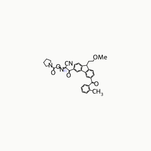 COCCC1c2ccc(C(=O)/C(C#N)=N/OC(=O)N3CCCC3)cc2-c2cc(C(=O)c3ccccc3C)ccc21